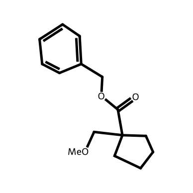 COCC1(C(=O)OCc2ccccc2)CCCC1